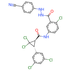 N#Cc1ccc(NNC(=O)c2cc(NC(=O)[C@H]3[C@H](c4cc(Cl)cc(Cl)c4)C3(Cl)Cl)ccc2Cl)cc1